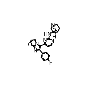 Fc1ccc(-c2nc3occn3c2-c2ccnc(N[C@@H]3CN4CCC3CC4)n2)cc1